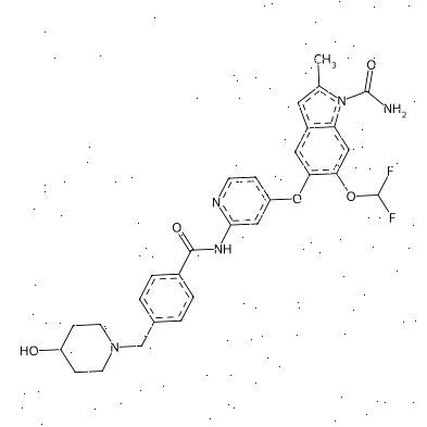 Cc1cc2cc(Oc3ccnc(NC(=O)c4ccc(CN5CCC(O)CC5)cc4)c3)c(OC(F)F)cc2n1C(N)=O